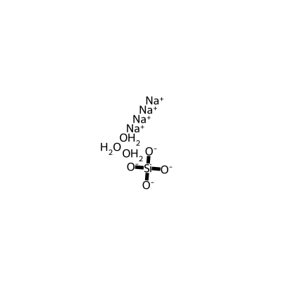 O.O.O.[Na+].[Na+].[Na+].[Na+].[O-][Si]([O-])([O-])[O-]